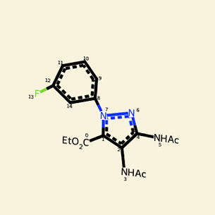 CCOC(=O)c1c(NC(C)=O)c(NC(C)=O)nn1-c1cccc(F)c1